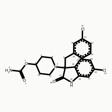 NC(=O)OC1CCN(C2(Cc3cccc(Cl)c3)C(=O)Nc3cc(Cl)ccc32)CC1